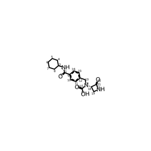 O=C(NC1CCCCC1)c1ccc(CN(C(=O)O)[C@H]2CNC2=O)cc1